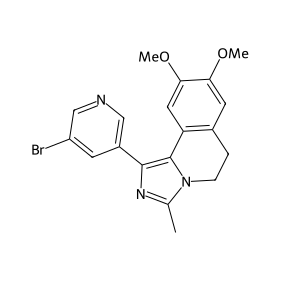 COc1cc2c(cc1OC)-c1c(-c3cncc(Br)c3)nc(C)n1CC2